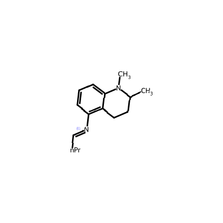 CCC/C=N/c1cccc2c1CCC(C)N2C